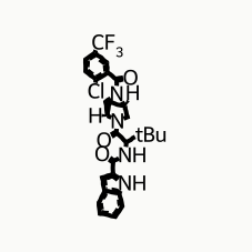 CC(C)(C)C(NC(=O)c1cc2ccccc2[nH]1)C(=O)N1C[C@@H]2C[C@H]1CN2C(=O)c1cc(C(F)(F)F)ccc1Cl